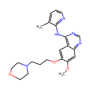 COc1cc2ncnc(Nc3ncccc3C)c2cc1OCCCN1CCOCC1